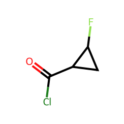 O=C(Cl)C1CC1F